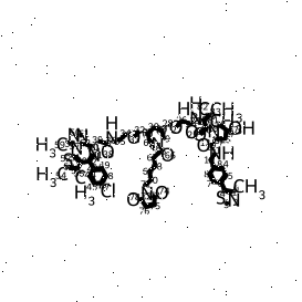 Cc1ncsc1-c1ccc(CNC(=O)[C@@H]2C[C@@H](O)CN2C(=O)[C@@H](NC(=O)COC[C@H]2C[C@@H](COCCNC(=O)C[C@@H]3N=C(c4ccc(Cl)cc4)c4c(sc(C)c4C)-n4c(C)nnc43)CN(C(=O)CCCCCN3C(=O)C=CC3=O)C2)C(C)(C)C)cc1